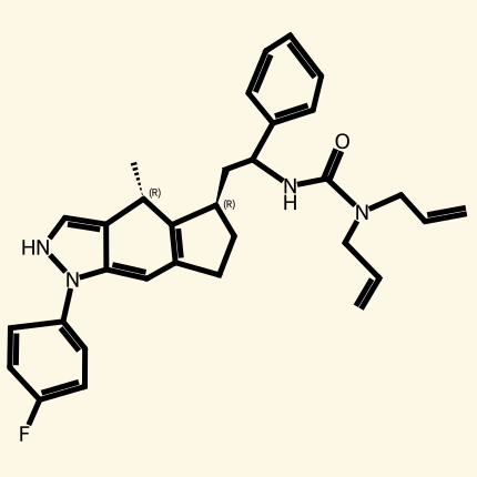 C=CCN(CC=C)C(=O)NC(C[C@H]1CCC2=C1[C@@H](C)C1=CNN(c3ccc(F)cc3)C1=C2)c1ccccc1